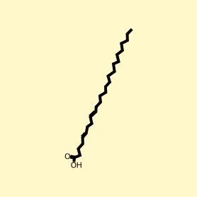 CCCCCCCCCCCCCCCC/C=C/CC/C=C/CCCC(=O)O